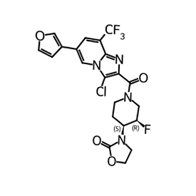 O=C(c1nc2c(C(F)(F)F)cc(-c3ccoc3)cn2c1Cl)N1CC[C@H](N2CCOC2=O)[C@H](F)C1